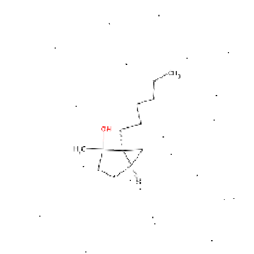 CCCCCC[C@]12C[C@H]1CCC2(C)O